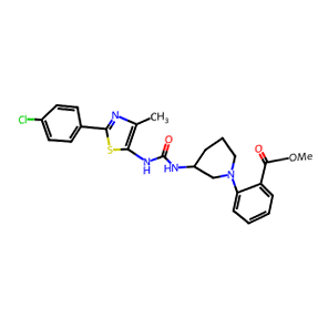 COC(=O)c1ccccc1N1CCCC(NC(=O)Nc2sc(-c3ccc(Cl)cc3)nc2C)C1